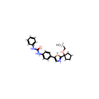 O=C(O)COC1(c2ncc(-c3ccc(NC(=O)Nc4ccccc4)cc3)s2)CCCC1